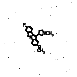 COc1ccc2c(c1)c(C1CCN(C)C1)c1n2Cc2cc(F)ccc2-1